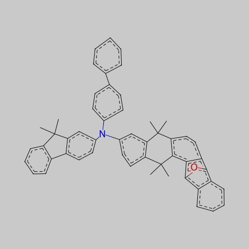 CC1(C)c2ccccc2-c2ccc(N(c3ccc(-c4ccccc4)cc3)c3ccc4c(c3)C(C)(C)c3ccc5c6oc(c7ccccc76)c5c3C4(C)C)cc21